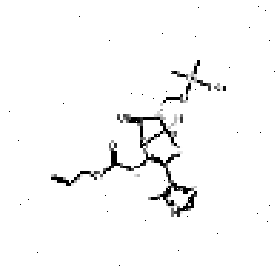 C=CCOC(=O)OC1=C(c2scnc2C)S[C@@H]2[C@@H](CO[Si](C)(C)C(C)(C)C)C(=O)N12